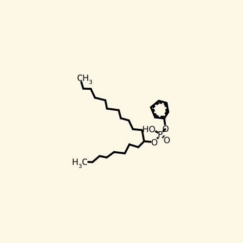 CCCCCCCCCCCC(CCCCCCCC)OP(=O)(O)Oc1ccccc1